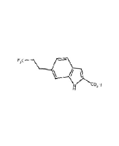 O=C(O)c1cc2ccc(CCC(F)(F)F)cc2[nH]1